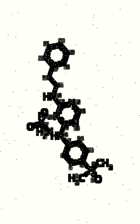 CP(C)(=O)c1ccc(Nc2ncnc(NCCc3ccccc3)n2)cc1.N[SH](=O)=O